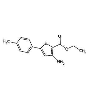 CCOC(=O)c1sc(-c2ccc(C)cc2)cc1N